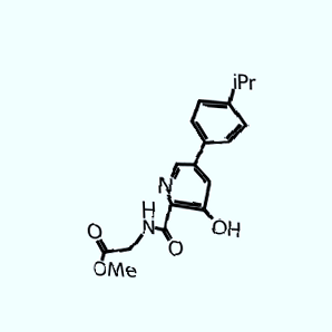 COC(=O)CNC(=O)c1ncc(-c2ccc(C(C)C)cc2)cc1O